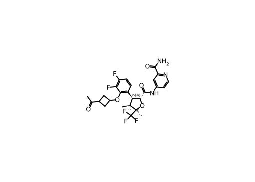 CC(=O)C1CC(Oc2c([C@H]3[C@H](C(=O)Nc4ccnc(C(N)=O)c4)O[C@@](C)(C(F)(F)F)[C@H]3C)ccc(F)c2F)C1